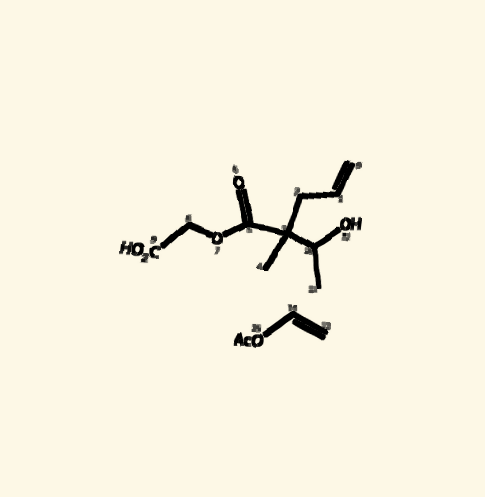 C=CCC(C)(C(=O)OCC(=O)O)C(C)O.C=COC(C)=O